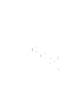 CCC/C=C\Cc1ccc(-c2ccc(-c3ccc(C4CCC(C5CCC(CCCCC)CC5)CC4)c(F)c3)cc2)c(F)c1F